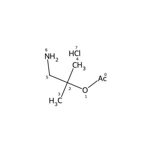 CC(=O)OC(C)(C)CN.Cl